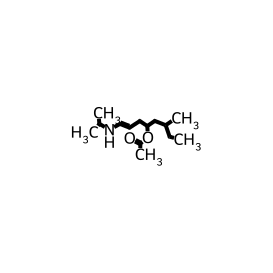 CCC(C)CC(C/C=C/NC(C)C)OC(C)=O